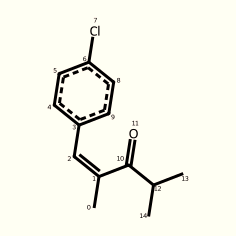 C/C(=C/c1ccc(Cl)cc1)C(=O)C(C)C